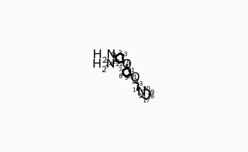 Nc1ccc(Oc2cccc(OCCCN3CCCCC3)c2)cc1N